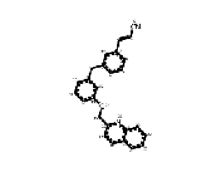 N#C/C=C/c1cccc(Cc2cccc(OCc3ccc4ccccc4n3)c2)c1